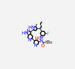 C=C/C=C(/c1cc(O)cc(F)c1)c1cc(-c2n[nH]c3cnc(-c4cncc(NC(=O)C(C)(C)C)c4)cc23)[nH]c1C